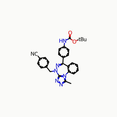 Cc1nnc2n1-c1ccccc1C(c1ccc(NC(=O)OC(C)(C)C)cc1)=NN2Cc1ccc(C#N)cc1